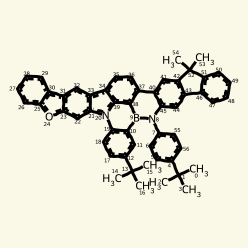 CC(C)(C)c1ccc(N2B3c4cc(C(C)(C)C)ccc4-n4c5cc6oc7ccccc7c6cc5c5ccc(c3c54)-c3cc4c(cc32)-c2ccccc2C4(C)C)cc1